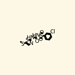 CSc1cnc(NC(=O)NS(=O)(=O)c2cccc(Cl)c2)s1